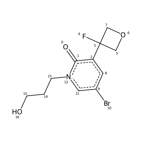 O=c1c(C2(F)COC2)cc(Br)cn1CCCO